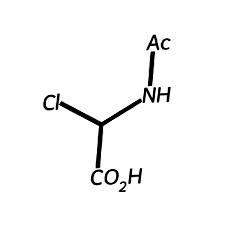 CC(=O)NC(Cl)C(=O)O